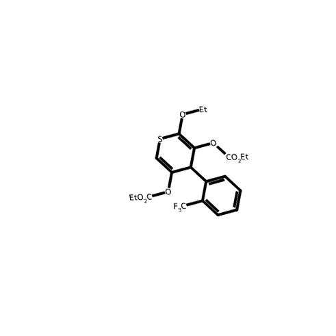 CCOC(=O)OC1=CSC(OCC)=C(OC(=O)OCC)C1c1ccccc1C(F)(F)F